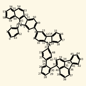 c1ccc(-n2c3cc(-c4ccc5c(c4)c4ccccc4n5-c4ccc(-c5ccccc5-c5ccc6c7c(cccc57)-c5ccccc5-6)cc4)ccc3c3ccc4ccccc4c32)cc1